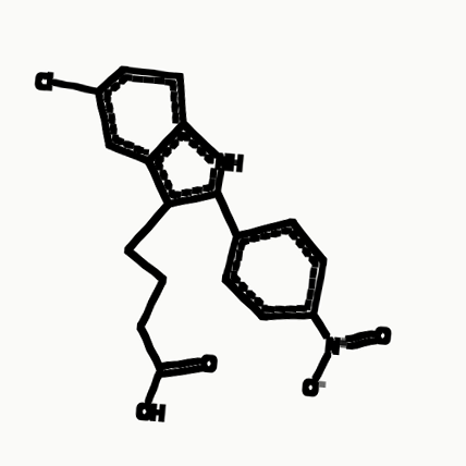 O=C(O)CCCc1c(-c2ccc([N+](=O)[O-])cc2)[nH]c2ccc(Cl)cc12